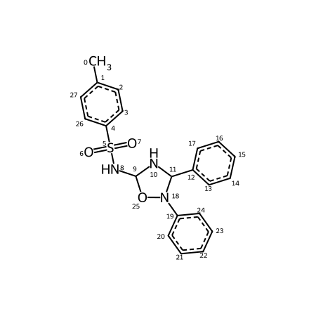 Cc1ccc(S(=O)(=O)NC2NC(c3ccccc3)N(c3ccccc3)O2)cc1